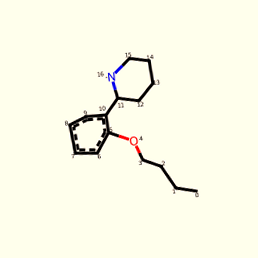 CCCCOc1ccccc1C1CCCC[N]1